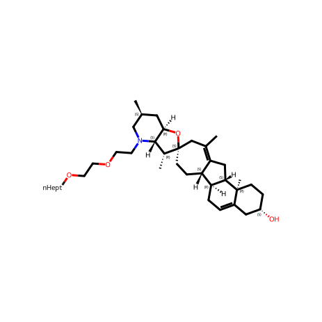 CCCCCCCOCCOCCN1C[C@@H](C)C[C@H]2O[C@]3(CC[C@@H]4C(=C(C)C3)C[C@H]3[C@H]4CC=C4C[C@@H](O)CC[C@@]43C)[C@H](C)[C@@H]21